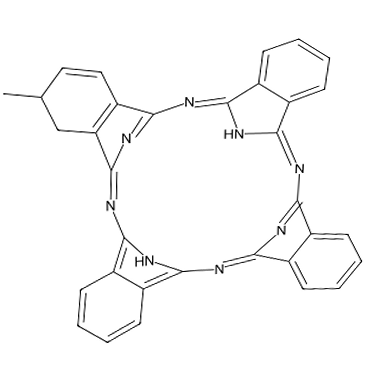 CC1C=CC2=C(C1)c1nc2nc2[nH]c(nc3nc(nc4[nH]c(n1)c1ccccc41)-c1ccccc1-3)c1ccccc21